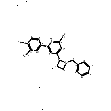 Fc1ccc(-c2cc(C3CCN3Cc3ccccc3)cc(Cl)n2)cc1Cl